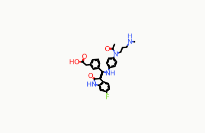 CNCCCN(C(C)=O)c1ccc(NC(=C2C(=O)Nc3cc(F)ccc32)c2cccc(CC(=O)O)c2)cc1